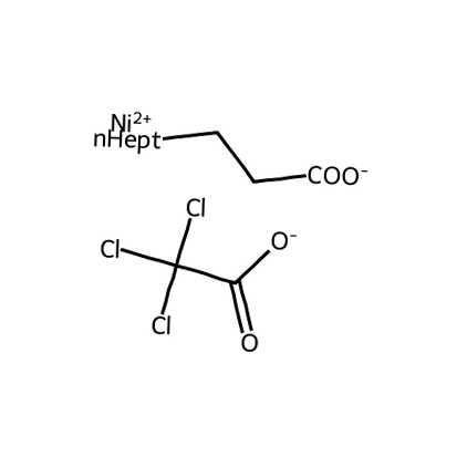 CCCCCCCCCC(=O)[O-].O=C([O-])C(Cl)(Cl)Cl.[Ni+2]